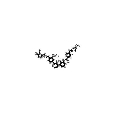 COc1cc(-c2nccc(-c3cccc(NC(=O)c4ccc(CNCCO)cn4)c3C)c2Cl)ccc1CNCC1CCC(=O)N1